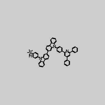 C[SH](C)(C)(C)c1ccc(-n2c3ccccc3c3ccc(-c4ccc5c6ccccc6n(-c6ccc(-c7cc(-c8ccccc8)cc(-c8ccccc8)n7)cc6)c5c4)cc32)cc1